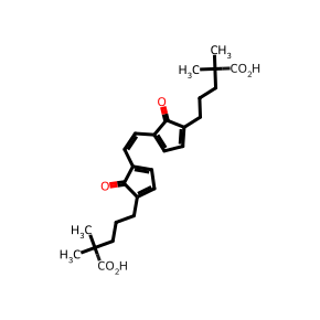 CC(C)(CCCC1=CC=C(/C=C\C2=CC=C(CCCC(C)(C)C(=O)O)C2=O)C1=O)C(=O)O